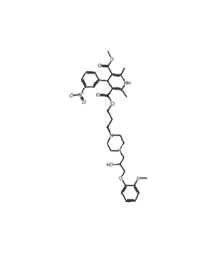 COC(=O)C1=C(C)NC(C)=C(C(=O)OCCCN2CCN(CC(O)COc3ccccc3OC)CC2)C1c1cccc([N+](=O)[O-])c1